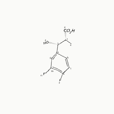 C[C@@H](C(=O)O)[C@@H](O)c1ccc(F)c(F)c1